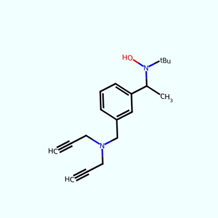 C#CCN(CC#C)Cc1cccc(C(C)N(O)C(C)(C)C)c1